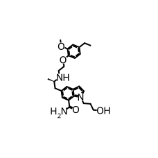 CCc1ccc(OCCN[C@H](C)Cc2cc(C(N)=O)c3c(ccn3CCCO)c2)c(OC)c1